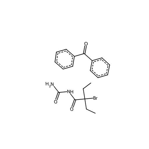 CCC(Br)(CC)C(=O)NC(N)=O.O=C(c1ccccc1)c1ccccc1